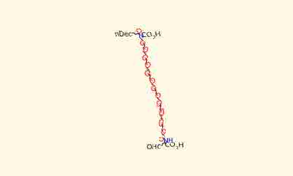 CCCCCCCCCCCCC(=O)N(CCOCCOCCOCCOCCOCCOCCOCCOCCOCCOCCOCCOCCC(=O)N[C@@H](CC[C]=O)C(=O)O)C(=O)O